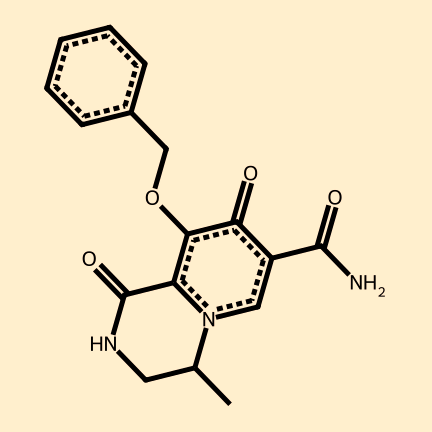 CC1CNC(=O)c2c(OCc3ccccc3)c(=O)c(C(N)=O)cn21